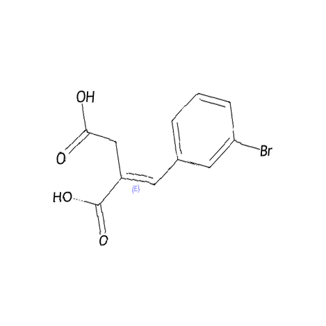 O=C(O)C/C(=C\c1cccc(Br)c1)C(=O)O